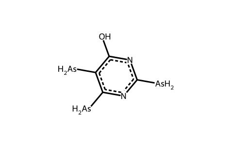 Oc1nc([AsH2])nc([AsH2])c1[AsH2]